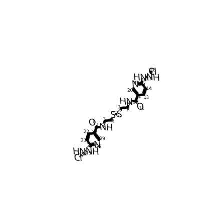 O=C(NCCSSCCNC(=O)c1ccc(NNCl)nc1)c1ccc(NNCl)nc1